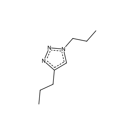 CCCc1cn(CCC)nn1